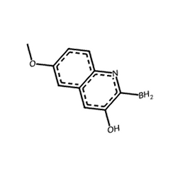 Bc1nc2ccc(OC)cc2cc1O